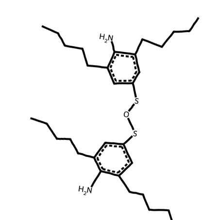 CCCCCc1cc(SOSc2cc(CCCCC)c(N)c(CCCCC)c2)cc(CCCCC)c1N